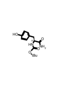 CC(C)(C)OC(=O)N[C@@H](Cc1ccc(O)cc1)C(N)=O